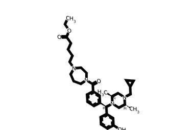 CCOC(=O)CCCCN1CCCN(C(=O)c2cccc([C@H](c3cccc(O)c3)N3C[C@@H](C)N(CC4CC4)C[C@@H]3C)c2)CC1